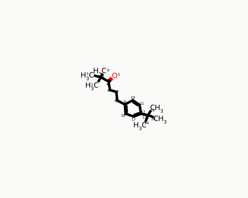 CC(C)(C)C(=O)CCCc1ccc(C(C)(C)C)cc1